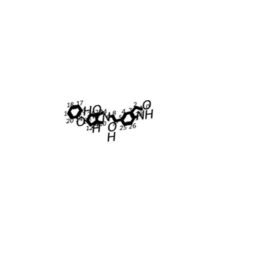 O=C1Cc2cc(C(O)CN3C[C@H]4C[C@H](Oc5ccccc5)C[C@@]4(O)C3)ccc2N1